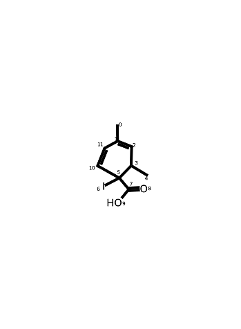 CC1=CC(C)C(I)(C(=O)O)C=C1